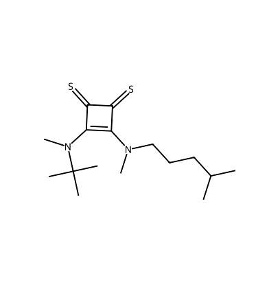 CC(C)CCCN(C)c1c(N(C)C(C)(C)C)c(=S)c1=S